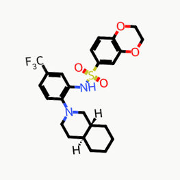 O=S(=O)(Nc1cc(C(F)(F)F)ccc1N1CC[C@@H]2CCCC[C@H]2C1)c1ccc2c(c1)OCCO2